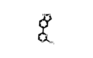 Nc1nccc(-c2ccc3[nH]ncc3c2)n1